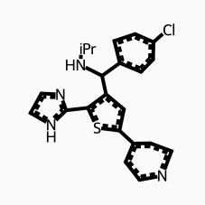 CC(C)NC(c1ccc(Cl)cc1)c1cc(-c2ccncc2)sc1-c1ncc[nH]1